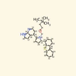 C[Si](C)(C)CCOCn1c(-c2ccnc3[nH]ccc23)ccc1-c1cccc2c1sc1ccccc12